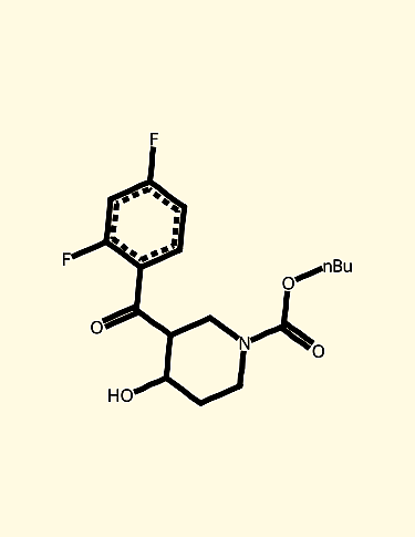 CCCCOC(=O)N1CCC(O)C(C(=O)c2ccc(F)cc2F)C1